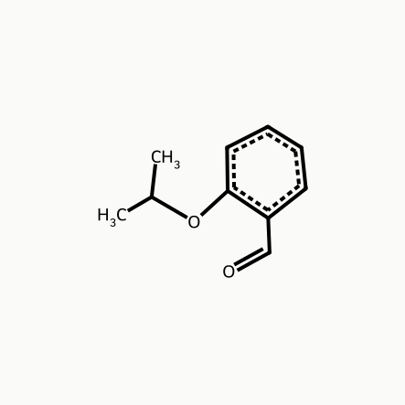 CC(C)Oc1ccccc1C=O